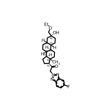 CCOC[C@@]1(O)CC[C@H]2[C@H](CC[C@@H]3[C@@H]2CC[C@]2(C)[C@@H](C(=O)Cn4nc5ccc(F)cc5n4)CC[C@@H]32)C1